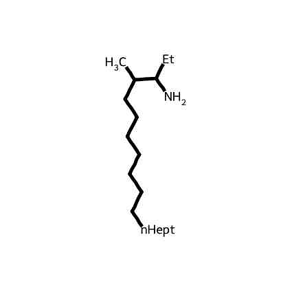 CCCCCCCCCCCCCCC(C)C(N)CC